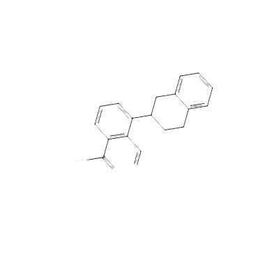 C=Cc1c(C(=O)O)cccc1C1CCc2ccccc2C1